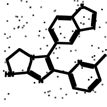 Cc1cccc(-c2nc3n(c2-c2ccc4sccc4c2)CCN3)n1